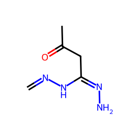 C=NN/C(CC(C)=O)=N\N